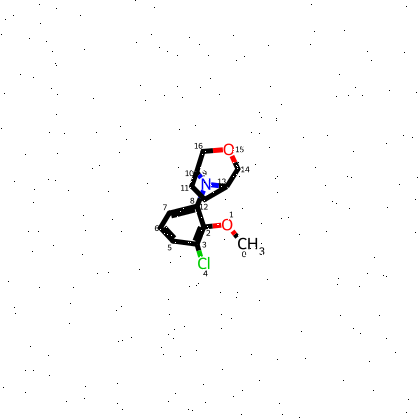 COc1c(Cl)cccc1N1C2CCC1COC2